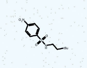 CC(C)(C)CCNS(=O)(=O)c1ccc([N+](=O)[O-])cc1